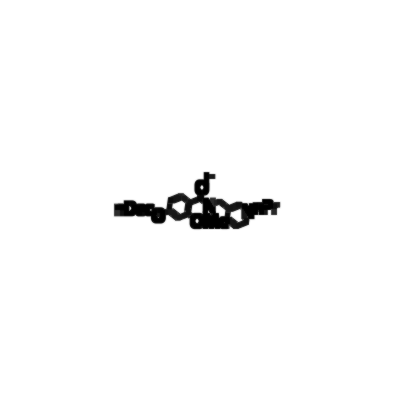 CCCCCCCCCCOc1ccc(C(=O)NCc2ccc[n+](CCC)c2)c(OC)c1.[I-]